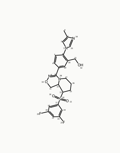 Cc1cn(-c2ccc(C3=NOCC4C(S(=O)(=O)c5cc(F)cc(F)c5)CCCN34)cc2CO)cn1